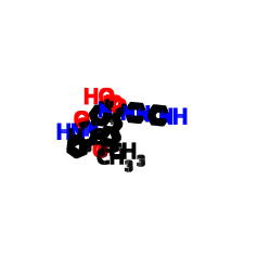 COc1c(C)cc(CC(C(=O)N2CCN(C3CCNCC3)CC2)[C@H]2CC(N3CCc4ccccc4NC3=O)CCN2C(=O)O)cc1C